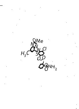 COc1cnc2c(-c3nc4c(Cl)cc5c(c4s3)OC[C@@H](Cc3ccccc3OC(N)=O)O5)cc(C)cc2n1